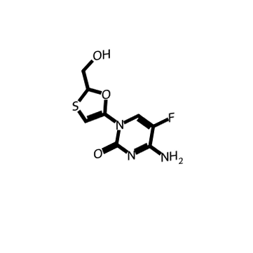 Nc1nc(=O)n(C2=CSC(CO)O2)cc1F